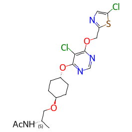 CC(=O)N[C@@H](C)CO[C@H]1CC[C@H](Oc2ncnc(OCc3ncc(Cl)s3)c2Cl)CC1